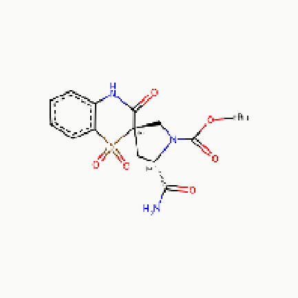 CC(C)(C)OC(=O)N1C[C@]2(C[C@H]1C(N)=O)C(=O)Nc1ccccc1S2(=O)=O